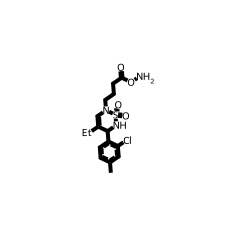 CCC1=CN(CCCC(=O)ON)S(=O)(=O)NC1c1ccc(C)cc1Cl